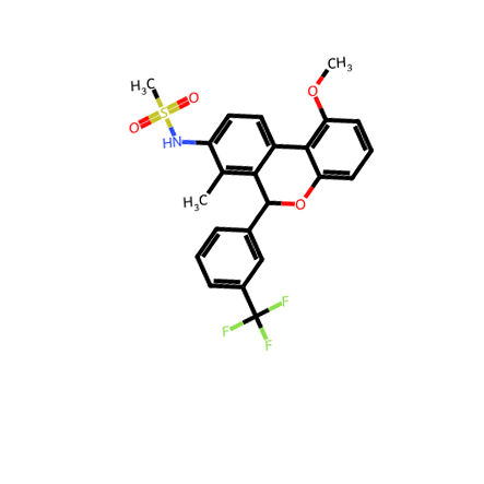 COc1cccc2c1-c1ccc(NS(C)(=O)=O)c(C)c1C(c1cccc(C(F)(F)F)c1)O2